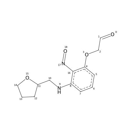 O=CCOc1cccc(NCC2CCCO2)c1N=O